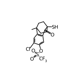 CC12CCC(S)(CC1)C(=O)c1cc(OS(=O)(=O)C(F)(F)F)c(Cl)cc12